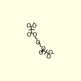 COC(=O)C(C)(C)C(=O)OCCOCCOC(=O)C(C)(C)C(=O)OC